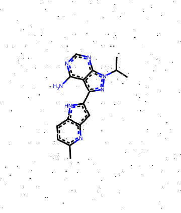 Cc1ccc2[nH]c(-c3nn(C(C)C)c4ncnc(N)c34)cc2n1